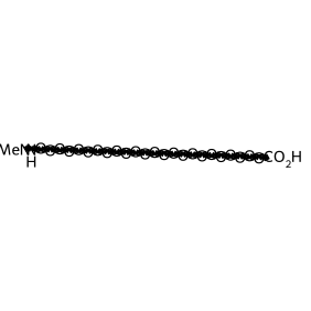 CNCNCCOCCOCCOCCOCCOCCOCCOCCOCCOCCOCCOCCOCCOCCOCCOCCOCCOCCOCCOCCOCCOCCOCCOCCOCCC(=O)O